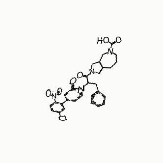 O=C(O)N1CCCC2CN(C(=O)C(Cc3ccccc3)n3ccc(-c4cc(Cl)ccc4[N+](=O)[O-])cc3=O)CC2C1